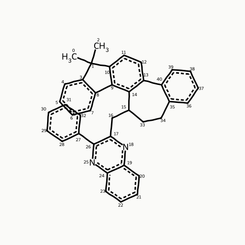 CC1(C)c2ccccc2-c2c1ccc1c2C(Cc2nc3ccccc3nc2-c2ccccc2)CCc2ccccc2-1